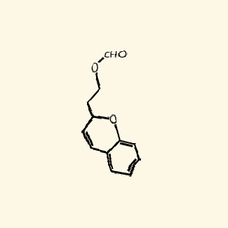 O=COCCC1C=Cc2ccccc2O1